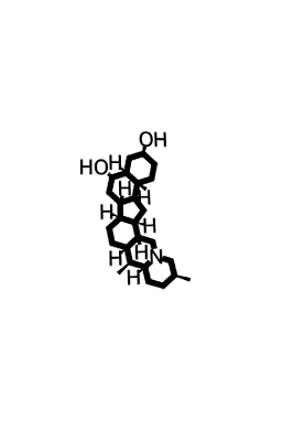 C[C@H]1CC[C@H]2[C@@H](C)[C@H]3CC[C@@H]4[C@@H](C[C@H]5[C@H]4C[C@@H](O)[C@H]4C[C@@H](O)CC[C@@]45C)[C@@H]3CN2C1